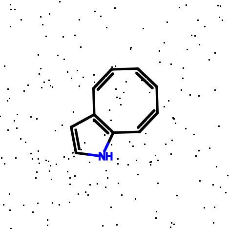 [c]1cc2c([nH]1)\C=C/C=C\C=C/2